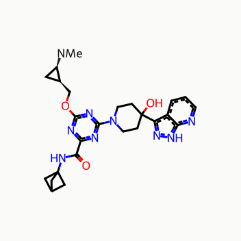 CN[C@@H]1C[C@@H]1COc1nc(C(=O)NC23CC(C2)C3)nc(N2CCC(O)(c3n[nH]c4ncccc34)CC2)n1